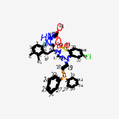 Cc1ccc(F)c([C@@H](C)[C@@H](c2n[nH]c(=O)o2)N2CN(CCP(c3ccccc3)c3ccccc3)c3cc(Cl)ccc3S2(=O)=O)c1C